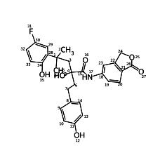 CC(C)(CC(O)(CCc1ccc(O)cc1)C(=O)Nc1ccc2c(c1)COC2=O)c1cc(F)ccc1O